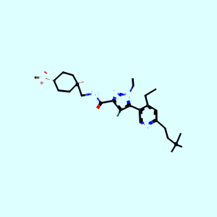 CCc1cc(CCC(C)(C)C)ncc1-c1c(Cl)c(C(=O)NC[C@]2(O)CC[C@@H](S(C)(=O)=O)CC2)nn1CC